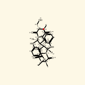 CN1C(=O)[C@]23SS[C@@]1(C)C(=O)N2[C@H]1Nc2ccccc2[C@@]1([C@@]12c4ccccc4N[C@H]1N1C(=O)[C@@]4(CO)SS[C@@]1(C(=O)N4C)[C@@H]2O)[C@@H]3O